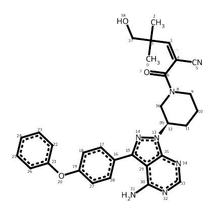 CC(C)(/C=C(/C#N)C(=O)N1CCC[C@@H](n2nc(-c3ccc(Oc4ccccc4)cc3)c3c(N)ncnc32)C1)CO